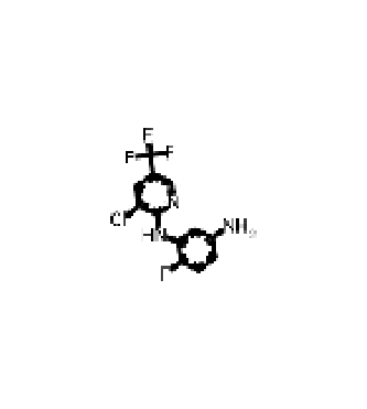 Nc1ccc(F)c(Nc2ncc(C(F)(F)F)cc2Cl)c1